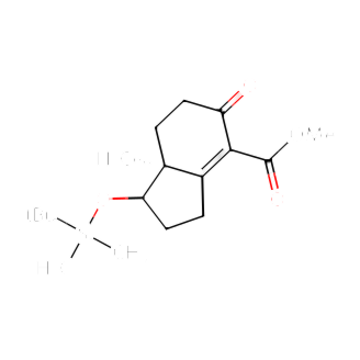 COC(=O)C1=C2CCC(O[Si](C)(C)C(C)(C)C)[C@@]2(C)CCC1=O